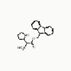 O=C(O)C(C(=O)OCC1c2ccccc2-c2ccccc21)C1CCCN1